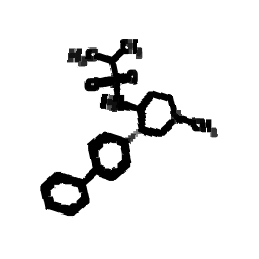 CC(C)S(=O)(=O)N[C@H]1CCN(C)C[C@@H]1c1ccc(-c2ccccc2)cc1